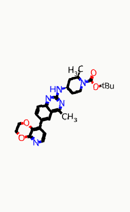 Cc1nc(N[C@@H]2CCN(C(=O)OC(C)(C)C)[C@H](C)C2)nc2ccc(-c3ccnc4c3OCCO4)cc12